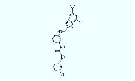 O=C(Nc1cc(NCc2cn3cc(C4CC4)cc(Br)c3n2)ccn1)C1CC1c1cccc(Cl)c1